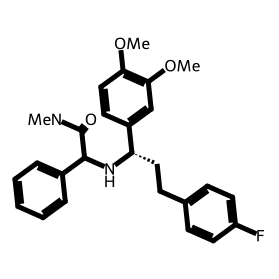 CNC(=O)C(N[C@@H](CCc1ccc(F)cc1)c1ccc(OC)c(OC)c1)c1ccccc1